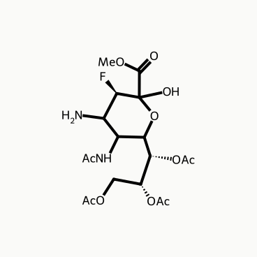 COC(=O)C1(O)OC([C@H](OC(C)=O)[C@@H](COC(C)=O)OC(C)=O)C(NC(C)=O)C(N)[C@H]1F